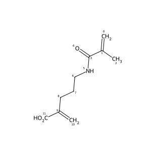 C=C(C)C(=O)NCCCC(=C)C(=O)O